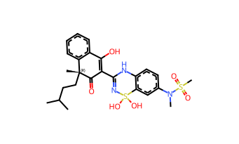 CC(C)CC[C@@]1(C)C(=O)C(C2=NS(O)(O)c3cc(N(C)S(C)(=O)=O)ccc3N2)=C(O)c2ccccc21